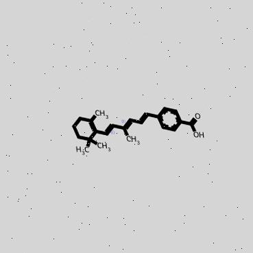 CC1=C(/C=C/C(C)=C/C=Cc2ccc(C(=O)O)cc2)C(C)(C)CCC1